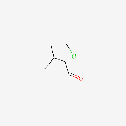 CC(C)CC=O.CCl